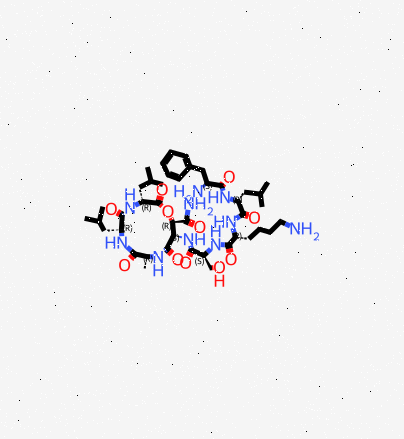 CC(C)C[C@@H](NC(=O)[C@@H](N)Cc1ccccc1)C(=O)N[C@H](CCCCN)C(=O)N[C@@H](CO)C(=O)N[C@@H]1C(=O)N[C@H](C)C(=O)N[C@H](CC(C)C)C(=O)N[C@H](CC(C)C)C(=O)O[C@H]1C(N)=O